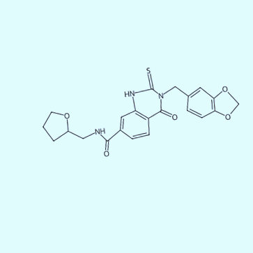 O=C(NCC1CCCO1)c1ccc2c(=O)n(Cc3ccc4c(c3)OCO4)c(=S)[nH]c2c1